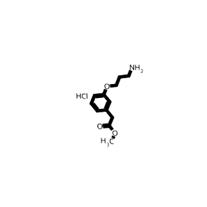 COC(=O)Cc1cccc(OCCCN)c1.Cl